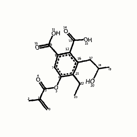 C=C(C)C(=O)Oc1cc(C(=O)O)c(C(=O)O)c(CC(C)O)c1CC